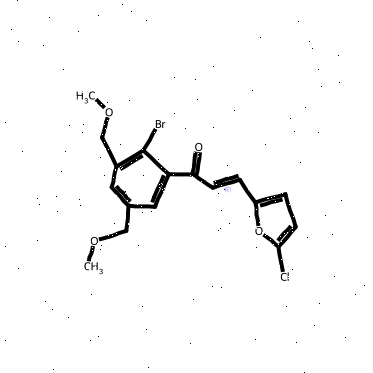 COCc1cc(COC)c(Br)c(C(=O)/C=C/c2ccc(Cl)o2)c1